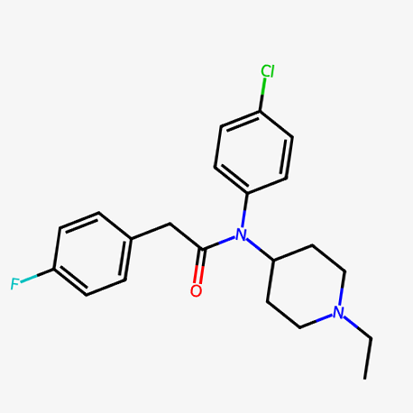 CCN1CCC(N(C(=O)Cc2ccc(F)cc2)c2ccc(Cl)cc2)CC1